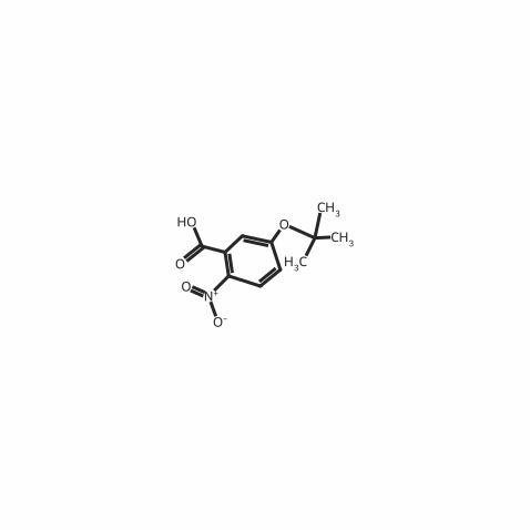 CC(C)(C)Oc1ccc([N+](=O)[O-])c(C(=O)O)c1